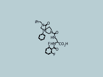 CC(C)CN1CN(c2ccccc2)C2(CCN(C(=O)NCC(NC(=O)c3c(F)cccc3F)C(=O)O)CC2)C1=O